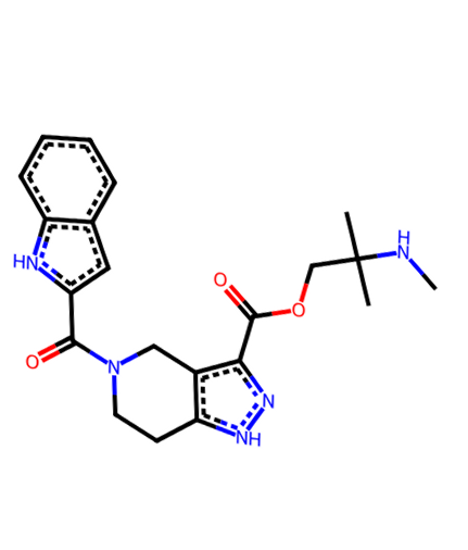 CNC(C)(C)COC(=O)c1n[nH]c2c1CN(C(=O)c1cc3ccccc3[nH]1)CC2